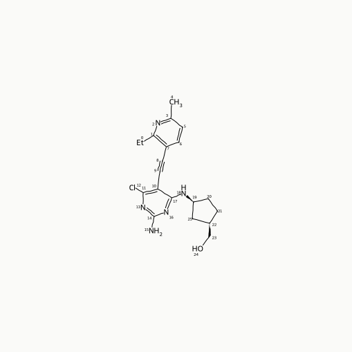 CCc1nc(C)ccc1C#Cc1c(Cl)nc(N)nc1N[C@H]1CC[C@@H](CO)C1